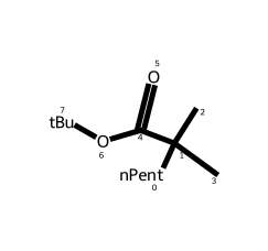 CCCCCC(C)(C)C(=O)OC(C)(C)C